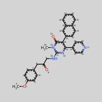 COc1ccc(CC(=O)CNc2nc(-c3ccncc3)c(-c3ccc4ccccc4c3)c(=O)n2C)cc1